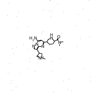 CN1CC(c2cnn3c(N)cc(C4CCC(C(=O)N(C)C)NC4)nc23)C=N1